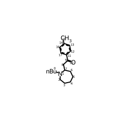 CCCCN1CCCCCC1CC(=O)c1ccc(C)cc1